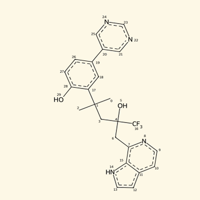 CC(C)(CC(O)(Cc1nccc2cc[nH]c12)C(F)(F)F)c1cc(-c2cncnc2)ccc1O